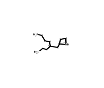 CCCC(CCCP)CC1CCN1